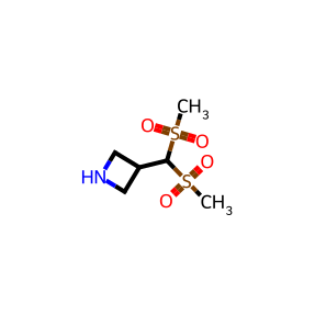 CS(=O)(=O)C(C1CNC1)S(C)(=O)=O